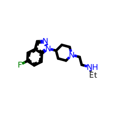 CCNCCN1CCC(n2ncc3cc(F)ccc32)CC1